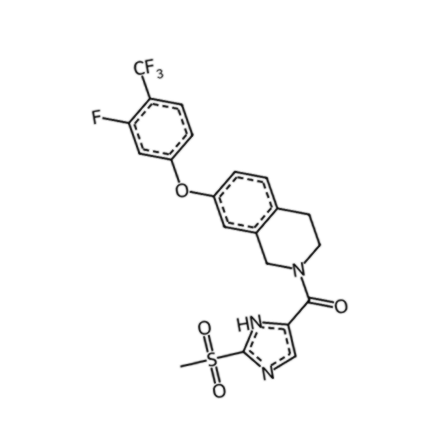 CS(=O)(=O)c1ncc(C(=O)N2CCc3ccc(Oc4ccc(C(F)(F)F)c(F)c4)cc3C2)[nH]1